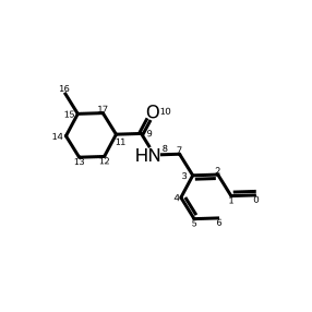 C=C/C=C(\C=C/C)CNC(=O)C1CCCC(C)C1